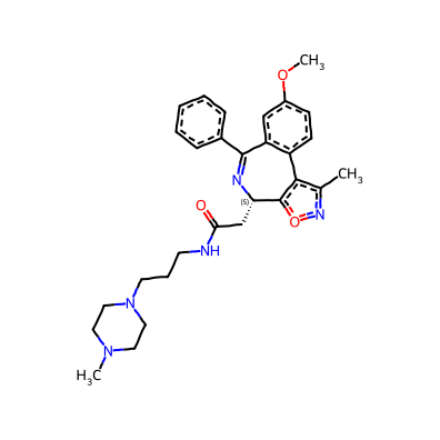 COc1ccc2c(c1)C(c1ccccc1)=N[C@@H](CC(=O)NCCCN1CCN(C)CC1)c1onc(C)c1-2